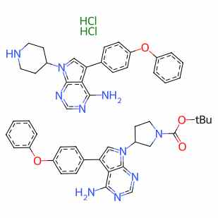 CC(C)(C)OC(=O)N1CCC(n2cc(-c3ccc(Oc4ccccc4)cc3)c3c(N)ncnc32)C1.Cl.Cl.Nc1ncnc2c1c(-c1ccc(Oc3ccccc3)cc1)cn2C1CCNCC1